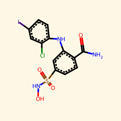 NC(=O)c1ccc(S(=O)(=O)NO)cc1Nc1ccc(I)cc1Cl